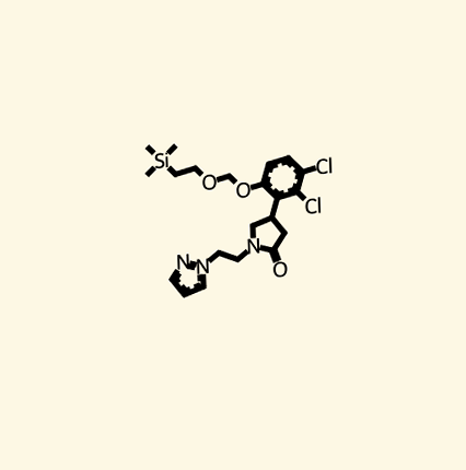 C[Si](C)(C)CCOCOc1ccc(Cl)c(Cl)c1C1CC(=O)N(CCn2cccn2)C1